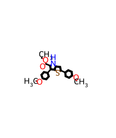 CCOC(=O)c1[nH]c2cc(-c3ccc(OC)cc3)sc2c1-c1ccc(OC)cc1